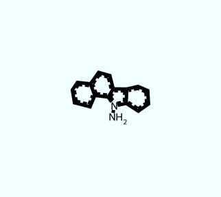 Nn1c2ccccc2c2ccc3ccccc3c21